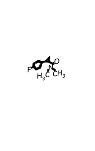 CCN(CC)C(=O)C1CC1c1ccc(F)cc1